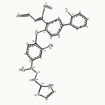 CN/C(=C\C=N)c1cc(-c2ccccc2F)ncc1Oc1ccc(N(O)SNC2NC=CS2)cc1C#N